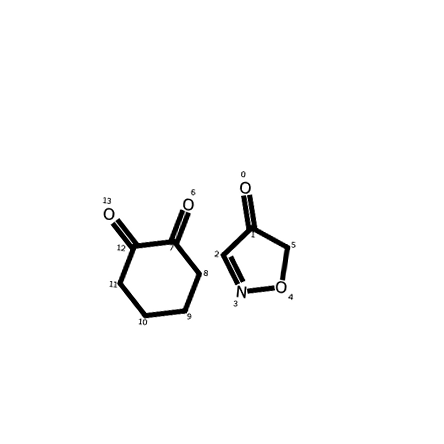 O=C1C=NOC1.O=C1CCCCC1=O